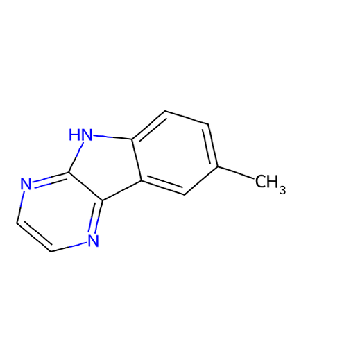 Cc1ccc2[nH]c3nccnc3c2c1